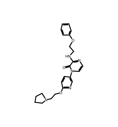 O=c1c(NCCOc2ccccc2)nccn1-c1ccc(OCCN2CCCC2)nc1